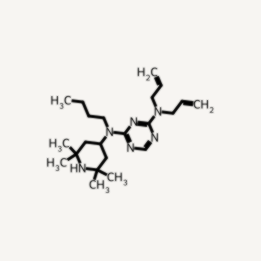 C=CCN(CC=C)c1ncnc(N(CCCC)C2CC(C)(C)NC(C)(C)C2)n1